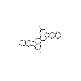 Cc1cc2c3cc4ccccc4cc3c3cc4c(cc5c6cc7ccccc7cc6c6cc(F)cc4c65)c(c1)c23